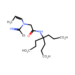 C/C=C\N(CC(=O)NC(CCC(=O)O)(CCC(=O)O)CCC(=O)O)C(=N)CC